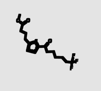 COC(=O)CCCc1ccc(C(=O)CCCCCC(F)(F)F)s1